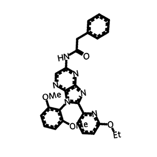 CCOc1cccc(-c2nc3nc(NC(=O)Cc4ccccc4)cnc3n2-c2c(OC)cccc2OC)n1